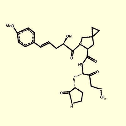 COc1ccc(/C=C/C[C@@H](O)C(=O)N2CC3(CC3)C[C@H]2C(=O)N[C@@H](C[C@@H]2CCNC2=O)C(=O)COC(F)(F)F)cc1